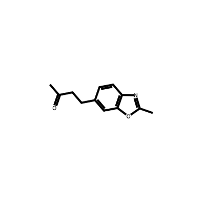 CC(=O)CCc1ccc2nc(C)oc2c1